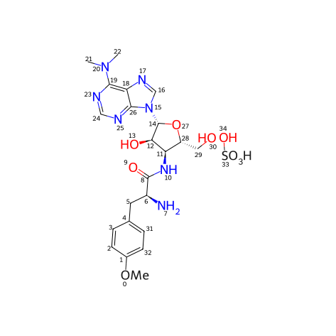 COc1ccc(C[C@H](N)C(=O)N[C@H]2[C@@H](O)[C@H](n3cnc4c(N(C)C)ncnc43)O[C@@H]2CO)cc1.O=S(=O)(O)O